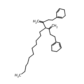 C=C(CCC1=CCCC=C1)C(CCCCCCCCCCC)C(=C)CCC1=CCCC=C1